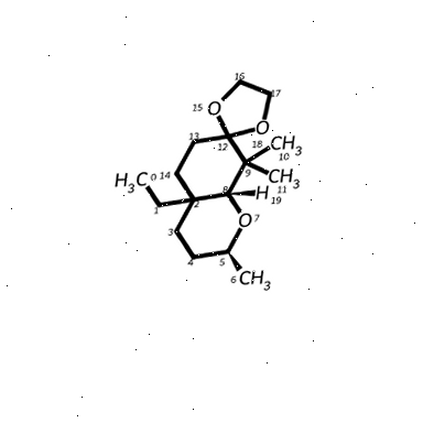 CCC12CC[C@H](C)O[C@H]1C(C)(C)C1(CC2)OCCO1